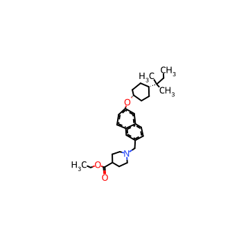 CCOC(=O)C1CCN(Cc2ccc3cc(O[C@H]4CC[C@@H](C(C)(C)CC)CC4)ccc3c2)CC1